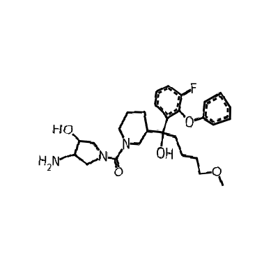 COCCCCC(O)(c1cccc(F)c1Oc1ccccc1)C1CCCN(C(=O)N2CC(N)C(O)C2)C1